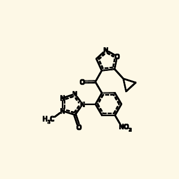 Cn1nnn(-c2cc([N+](=O)[O-])ccc2C(=O)c2cnoc2C2CC2)c1=O